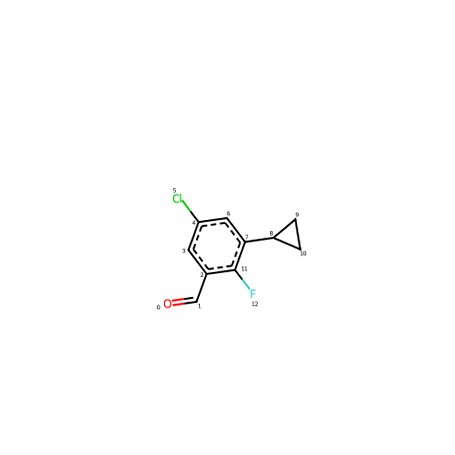 O=Cc1cc(Cl)cc(C2CC2)c1F